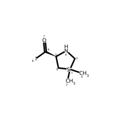 C[Si]1(C)CN[C@H](C(=O)I)C1